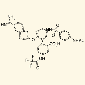 CC(=O)Nc1ccc(S(=O)(=O)Nc2ccc(Oc3ccc4cc(C(=N)N)ccc4c3)c(-c3ccccc3C(=O)O)c2)cc1.O=C(O)C(F)(F)F